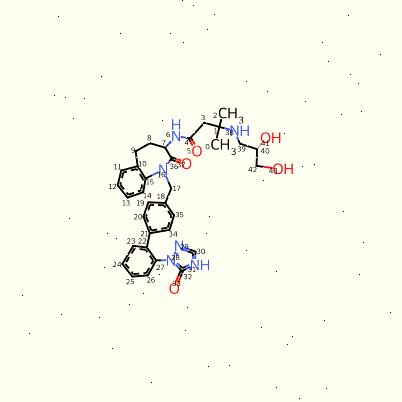 CC(C)(CC(=O)N[C@@H]1CCc2ccccc2N(Cc2ccc(-c3ccccc3-n3nc[nH]c3=O)cc2)C1=O)NC[C@H](O)CO